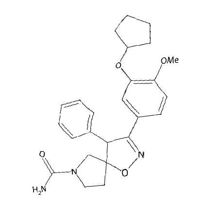 COc1ccc(C2=NOC3(CCN(C(N)=O)C3)C2c2ccccc2)cc1OC1CCCC1